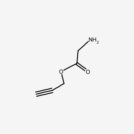 C#CCOC(=O)CN